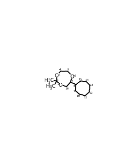 CC1(C)OCCOC(C2CCCCCCC2)CO1